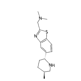 C[C@H]1CC[C@H](c2ccc3sc(CN(C)C)nc3c2)NC1